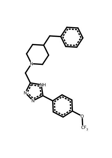 FC(F)(F)Oc1ccc(-c2nnc(CN3CCC(Cc4ccccc4)CC3)[nH]2)cc1